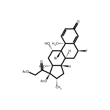 CC(=O)OCC(=O)[C@@]1(OC(C)=O)[C@@H](C)C[C@H]2[C@@H]3C[C@H](F)C4=CC(=O)C=C[C@]4(C)[C@@]3(Br)[C@@H](O)C[C@@]21C